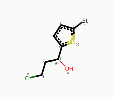 CCc1ccc([C@H](O)CCCl)s1